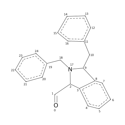 O=CC1c2ccccc2C(Cc2ccccc2)N1Cc1ccccc1